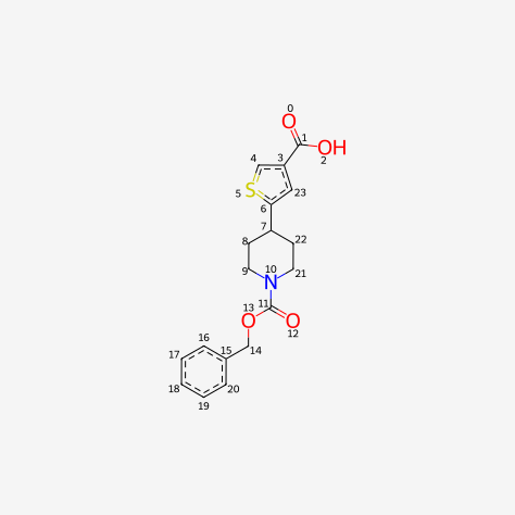 O=C(O)c1csc(C2CCN(C(=O)OCc3ccccc3)CC2)c1